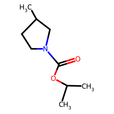 CC1CCN(C(=O)OC(C)C)C1